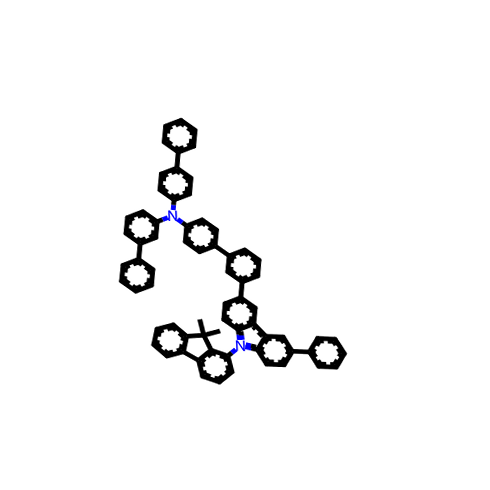 CC1(C)c2ccccc2-c2cccc(-n3c4ccc(-c5ccccc5)cc4c4cc(-c5cccc(-c6ccc(N(c7ccc(-c8ccccc8)cc7)c7cccc(-c8ccccc8)c7)cc6)c5)ccc43)c21